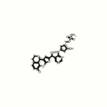 Cc1oc(C(O)c2cncnc2N[C@@H]2C[C@H](COS(N)(=O)=O)[C@@H](O)C2)cc1C1OCCc2ccc(Cl)cc21